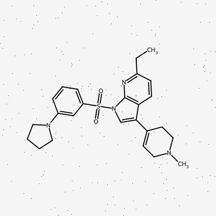 CCc1ccc2c(C3=CCN(C)CC3)cn(S(=O)(=O)c3cccc(N4CCCC4)c3)c2n1